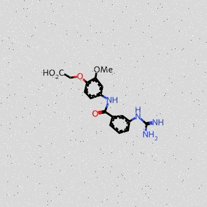 COc1cc(NC(=O)c2cccc(NC(=N)N)c2)ccc1OCC(=O)O